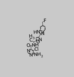 C[C@H](NC(=O)c1ncnc(N)c1Cl)c1cc(-c2nc3ccc(CF)cc3[nH]2)no1